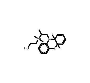 CC(CN1c2ccccc2SC2(I)C=CC=CC12I)[N+](C)(C)CCO